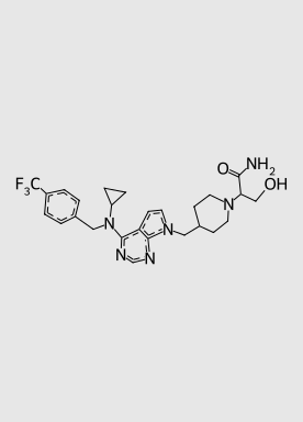 NC(=O)C(CO)N1CCC(Cn2ccc3c(N(Cc4ccc(C(F)(F)F)cc4)C4CC4)ncnc32)CC1